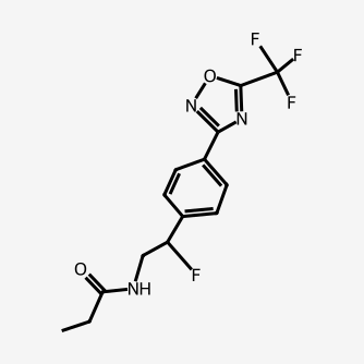 CCC(=O)NCC(F)c1ccc(-c2noc(C(F)(F)F)n2)cc1